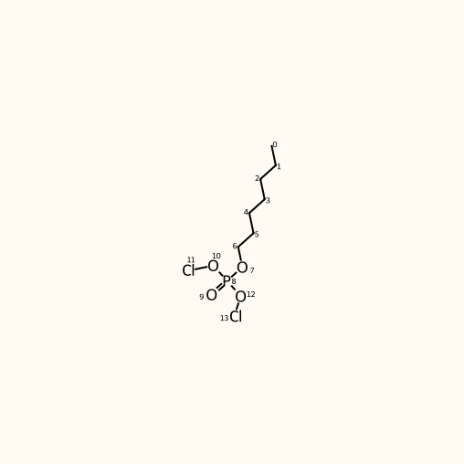 CCCCCCCOP(=O)(OCl)OCl